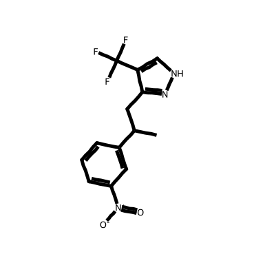 CC(Cc1n[nH]cc1C(F)(F)F)c1cccc([N+](=O)[O-])c1